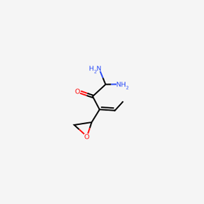 CC=C(C(=O)C(N)N)C1CO1